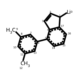 [Li][CH]1C=Cc2c(-c3cc(C)cc(C)c3)cccc21